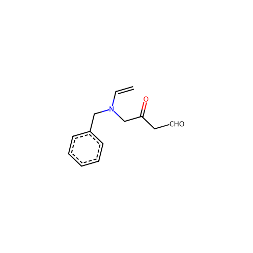 C=CN(CC(=O)CC=O)Cc1ccccc1